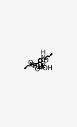 C#CC=CC(=O)Nc1ccc(CCOC(=O)CCC#C)cc1.O=C1CC(O)C(=O)N1